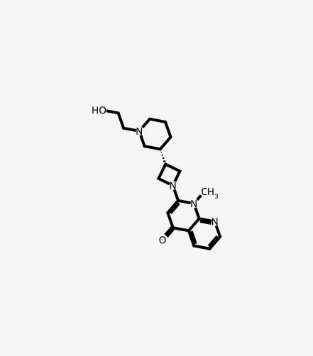 Cn1c(N2CC([C@H]3CCCN(CCO)C3)C2)cc(=O)c2cccnc21